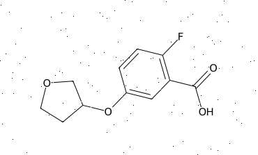 O=C(O)c1cc(OC2CCOC2)ccc1F